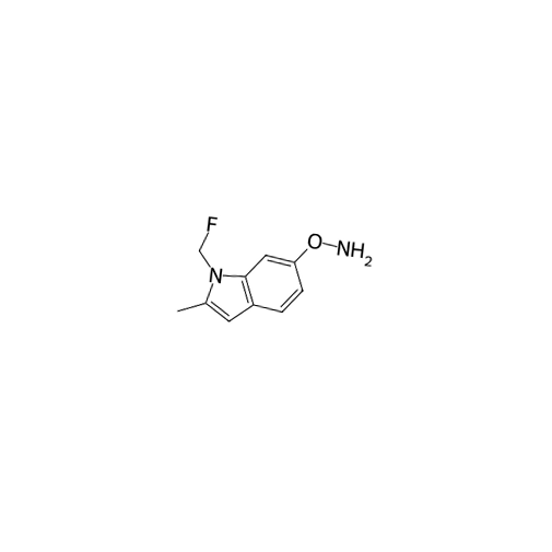 Cc1cc2ccc(ON)cc2n1CF